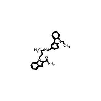 CCn1c2ccccc2c2cc(CNC(C)CCn3c(C(N)=O)cc4ccccc43)ccc21